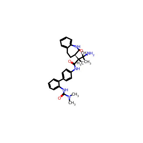 CN(C)C(=O)Nc1ccccc1-c1ccc(NC(=O)C(C)([C@H]2CCc3ccccc3NC2=O)C(C)(C)N)cc1